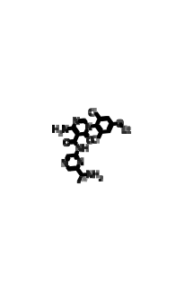 CCOc1cc(Cl)c(-n2cnc(N)c(C(=O)Nc3cncc([C@H](C)N)n3)c2=O)c(Cl)c1